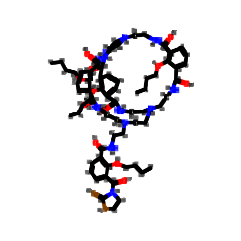 CCCCOc1c2cccc1C(=O)NCCN1CCNC(=O)c3cccc(c3OCCCC)C(=O)NCCN(CCNC2=O)CCNC(=O)c2cccc(c2OCCCC)C(=O)NCCN(CCNC(=O)c2cccc(C(=O)N3CCSC3=S)c2OCCCC)CC1